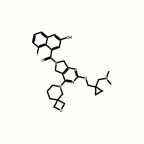 CN(C)CC1(COc2nc3c(c(N4CCCC5(COC5)C4)n2)CN(C(=O)c2cc(O)cc4cccc(I)c24)C3)CC1